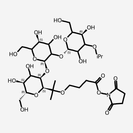 CC(C)OC1C(O)[C@H](OC2C(O)[C@H](O)C(CO)O[C@@H]2O[C@@H]2C(O)[C@H](O)[C@@H](CO)O[C@@H]2C(C)(C)OCCCC(=O)ON2C(=O)CCC2=O)OC(CO)[C@H]1O